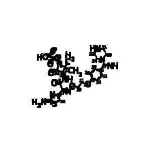 CC1(C)[C@H](NC(=O)C(=NOCCOc2ccc(C(=N)N3CCNCC3)cc2)c2csc(N)n2)C(=O)N1OS(=O)(=O)O